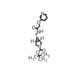 CC(C)(C)OC(=O)N1C[C@@H]2[C@@H](CNC(=O)COc3cccnc3)[C@@H]2C1